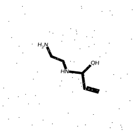 C=CC(O)NCCN